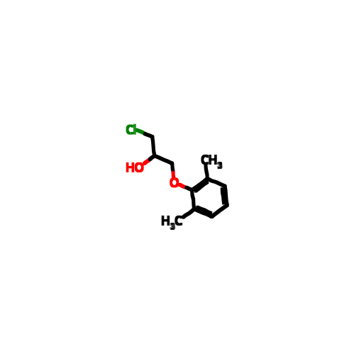 Cc1cccc(C)c1OCC(O)CCl